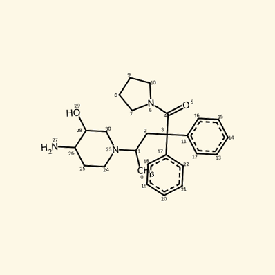 CC(CC(C(=O)N1CCCC1)(c1ccccc1)c1ccccc1)N1CCC(N)C(O)C1